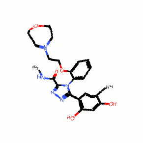 CC(C)NC(=O)c1nnc(-c2cc(C(C)C)c(O)cc2O)n1-c1ccccc1OCCN1CCOCC1